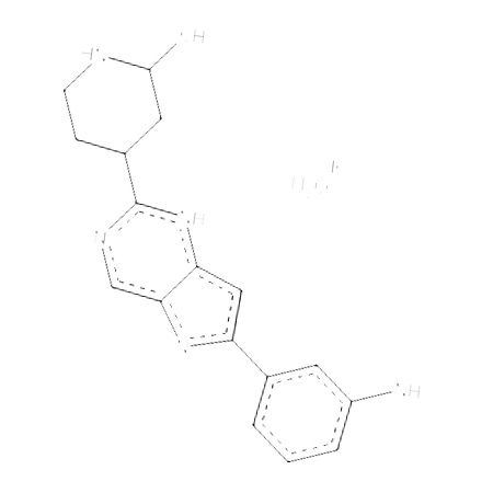 CC1CC(c2ncc3nc(-c4cccc(N)c4)cc-3[nH]2)CCN1.Cl.O